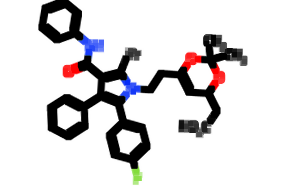 CC(C)c1c(C(=O)Nc2ccccc2)c(-c2ccccc2)c(-c2ccc(F)cc2)n1CCC1=CC(CC(=O)O)OC(C)(C)O1